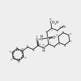 CC(C)CC(CP(=O)(O)C(CC1CCCCC1)NC(=O)CCc1ccccc1)C(=O)O